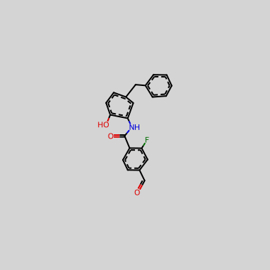 O=Cc1ccc(C(=O)Nc2cc(Cc3ccccc3)ccc2O)c(F)c1